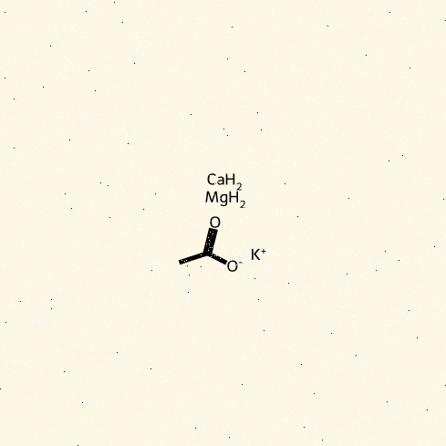 CC(=O)[O-].[CaH2].[K+].[MgH2]